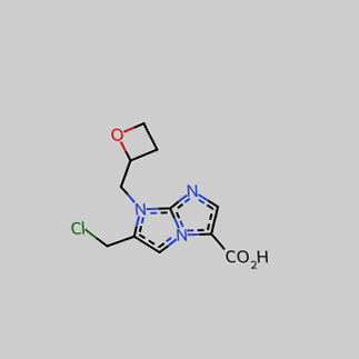 O=C(O)c1cnc2n(CC3CCO3)c(CCl)cn12